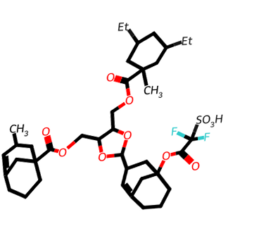 CCC1CC(CC)CC(C)(C(=O)OCC2OC(C3C=C4CCCC(OC(=O)C(F)(F)S(=O)(=O)O)(C4)C3)OC2COC(=O)C23CCCC(=CC(C)C2)C3)C1